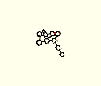 c1ccc(-c2cc(-c3ccc4c(c3)C3(c5ccccc5-c5ccccc5-4)c4ccccc4-c4c3ccc3ccccc43)nc(-c3ccc(-c4cccnc4)nc3)n2)cc1